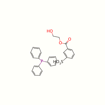 O=C(OCCO)c1cccc(S(=O)(=O)O)c1.c1ccc(P(c2ccccc2)c2ccccc2)cc1